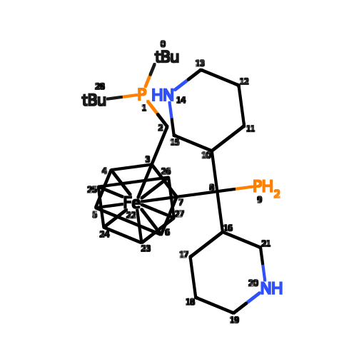 CC(C)(C)P(C[C]12[CH]3[CH]4[CH]5[C]1(C(P)(C1CCCNC1)C1CCCNC1)[Fe]43521678[CH]2[CH]1[CH]6[CH]7[CH]28)C(C)(C)C